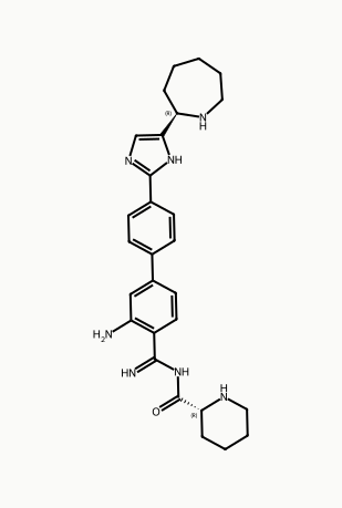 N=C(NC(=O)[C@H]1CCCCN1)c1ccc(-c2ccc(-c3ncc([C@H]4CCCCCN4)[nH]3)cc2)cc1N